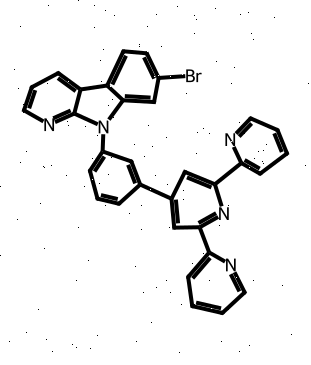 Brc1ccc2c3cccnc3n(-c3cccc(-c4cc(-c5ccccn5)nc(-c5ccccn5)c4)c3)c2c1